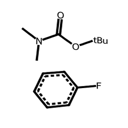 CN(C)C(=O)OC(C)(C)C.Fc1ccccc1